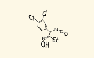 CCC(=NO)C(N=C=O)c1ccc(Cl)c(Cl)c1